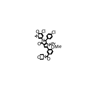 COc1ccc(C(=O)N2CCOCC2)cc1-c1cc2c(n1C(C)C)C(c1ccc(Cl)cc1)N(c1cc(Cl)c(=O)n(C)c1)C2=O